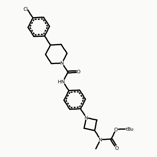 CN(C(=O)OC(C)(C)C)C1CN(c2ccc(NC(=O)N3CCC(c4ccc(Cl)cc4)CC3)cc2)C1